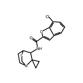 O=C(NC1C2CCN(CC2)C12CC2)c1cc2cccc(Cl)c2o1